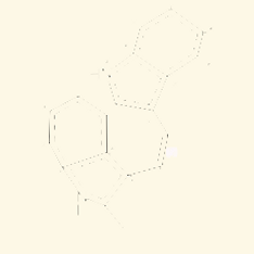 Cc1[nH]c2ccccc2c1/C=C\c1c[nH]c2ccccc12